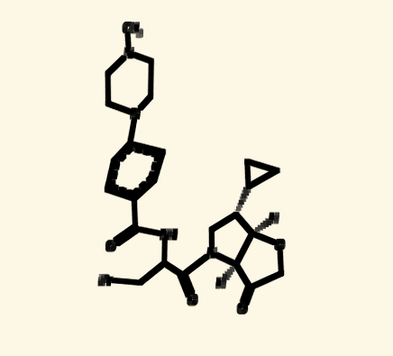 CC(C)CC(NC(=O)c1ccc(N2CCN(C)CC2)cc1)C(=O)N1C[C@H](C2CC2)[C@H]2OCC(=O)[C@H]21